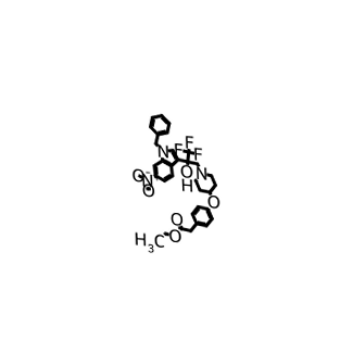 CCOC(=O)Cc1ccc(OC2CCN(CC(O)(c3cn(Cc4ccccc4)c4cc([N+](=O)[O-])ccc34)C(F)(F)F)CC2)cc1